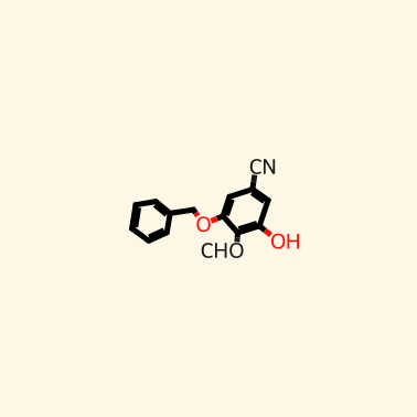 N#Cc1cc(O)c(C=O)c(OCc2ccccc2)c1